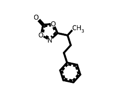 CC(CCc1ccccc1)c1noc(=O)o1